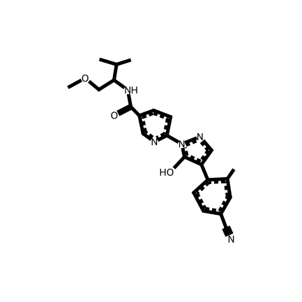 COCC(NC(=O)c1ccc(-n2ncc(-c3ccc(C#N)cc3C)c2O)nc1)C(C)C